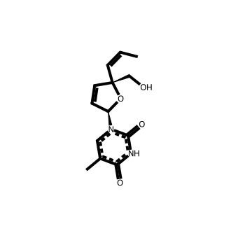 C/C=C\[C@@]1(CO)C=C[C@H](n2cc(C)c(=O)[nH]c2=O)O1